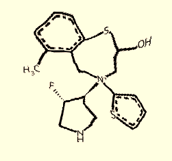 Cc1cccc2c1C[N+](c1cccs1)([C@H]1CNC[C@@H]1F)CC(O)S2